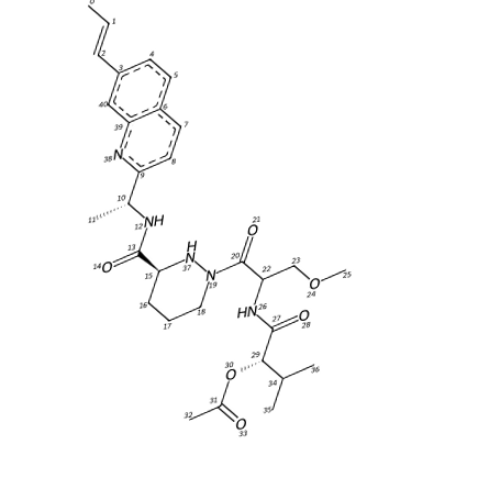 C/C=C/c1ccc2ccc([C@@H](C)NC(=O)[C@@H]3CCCN(C(=O)C(COC)NC(=O)[C@@H](OC(C)=O)C(C)C)N3)nc2c1